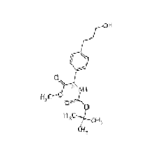 COC(=O)[C@@H](NC(=O)OC(C)(C)C)c1ccc(CCCO)cc1